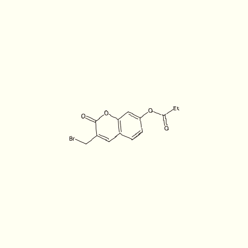 CCC(=O)Oc1ccc2cc(CBr)c(=O)oc2c1